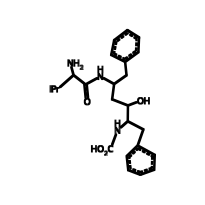 CC(C)C(N)C(=O)NC(Cc1ccccc1)CC(O)C(Cc1ccccc1)NC(=O)O